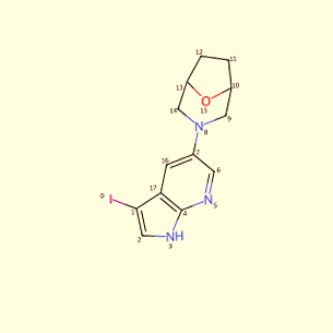 Ic1c[nH]c2ncc(N3CC4CCC(C3)O4)cc12